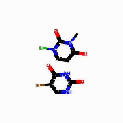 Cn1c(=O)ccn(Cl)c1=O.O=c1[nH]cc(Br)c(=O)[nH]1